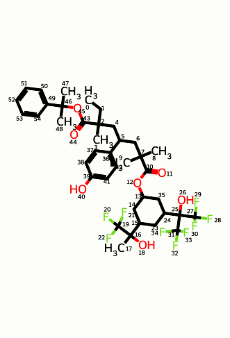 CCC(C)(CC(CC(C)(C)C(=O)OC1CC(C(C)(O)C(F)(F)F)CC(C(O)(C(F)(F)F)C(F)(F)F)C1)c1ccc(O)cc1)C(=O)OC(C)(C)c1ccccc1